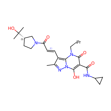 Cc1nn2c(O)c(C(=O)NC3CC3)c(=O)n(CC(C)C)c2c1/C=C/C(=O)N1CC[C@H](C(C)(C)O)C1